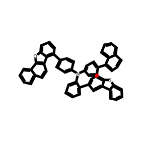 c1ccc(N(c2ccc(-c3cccc4ccccc34)cc2)c2ccc(-c3cccc4oc5c6ccccc6ccc5c34)cc2)c(-c2ccc3sc4ccccc4c3c2)c1